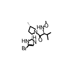 CON[C@H](C(=O)N1C[C@@H](C)C[C@H]1C1NC=C(Br)N1)C(C)C